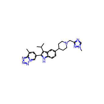 Cc1cc(-c2[nH]c3ccc(C4CCN(Cc5ncn(C)n5)CC4)cc3c2C(C)C)cn2nnnc12